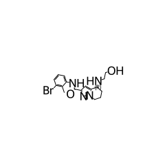 Cc1c(Br)cccc1NC(=O)c1cc2n(n1)CCC[C@H]2NCCO